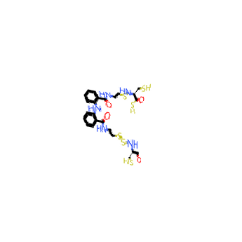 O=C[C@H](CS)NSSCCNC(=O)c1ccccc1Nc1ccccc1C(=O)NCCSN[C@@H](CS)C(=O)S